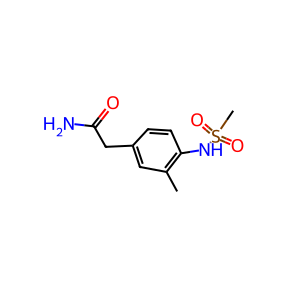 Cc1cc(CC(N)=O)ccc1NS(C)(=O)=O